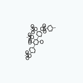 COc1cc(-c2ccc(OS(C)(=O)=O)cc2)c(OC)c(OS(C)(=O)=O)c1-c1ccc(OS(=O)(=O)c2ccc(C)cc2)c(OS(C)(=O)=O)c1